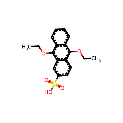 CCOc1c2ccccc2c(OCC)c2cc(S(=O)(=O)O)ccc12